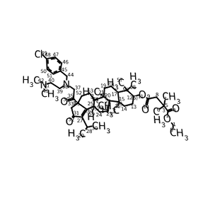 CCOC(=O)C(C)(C)CC(=O)O[C@H]1CC[C@@]2(C)C(CC[C@]3(C)C2CC[C@@H]2C4=C(C(C)C)C(=O)C[C@]4(C(=O)CN(CCN(C)C)Cc4ccc(Cl)cc4)CC[C@]23C)C1(C)C